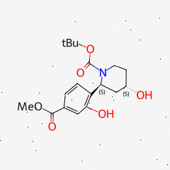 COC(=O)c1ccc([C@@H]2C[C@@H](O)CCN2C(=O)OC(C)(C)C)c(O)c1